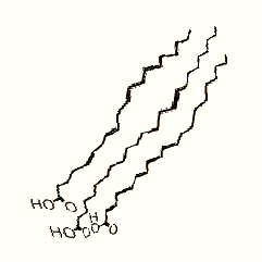 CCCCCC=CCC=CCC=CCC=CCCCC(=O)O.CCCCCCCCC=CCCCCCCCCCCCCCC(=O)O.CCCCCCCCCC=CC=CC=CC=CC=CC(=O)O